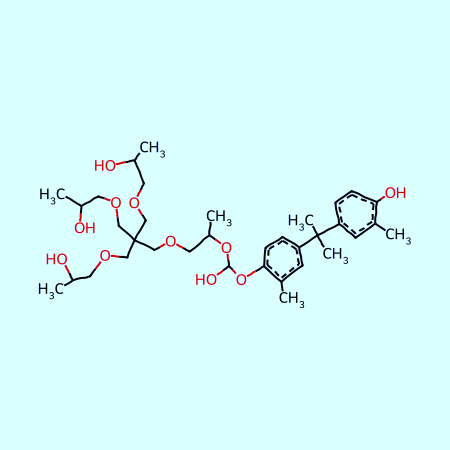 Cc1cc(C(C)(C)c2ccc(OC(O)OC(C)COCC(COCC(C)O)(COCC(C)O)COCC(C)O)c(C)c2)ccc1O